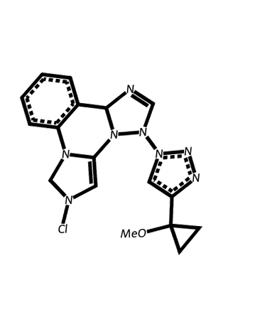 COC1(c2cn(N3C=NC4c5ccccc5N5CN(Cl)C=C5N43)nn2)CC1